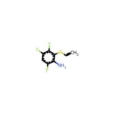 C=CSc1c(N)c(F)cc(F)c1F